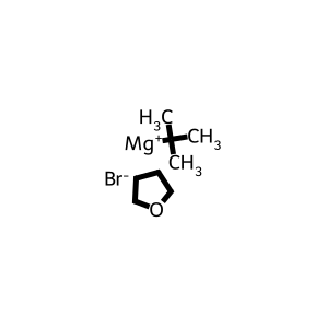 C1CCOC1.C[C](C)(C)[Mg+].[Br-]